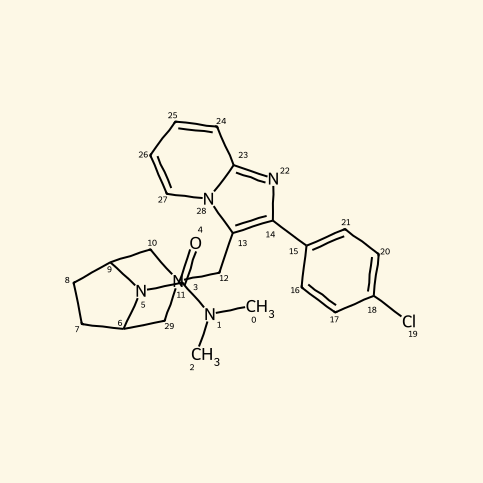 CN(C)C(=O)N1C2CCC1CN(Cc1c(-c3ccc(Cl)cc3)nc3ccccn13)C2